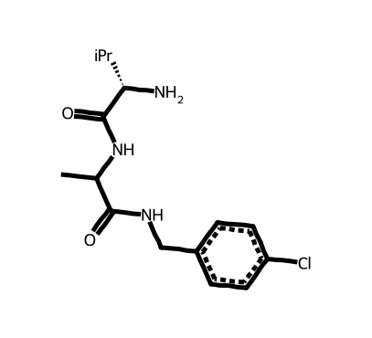 CC(NC(=O)[C@@H](N)C(C)C)C(=O)NCc1ccc(Cl)cc1